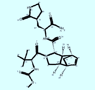 COC(=O)N[C@H](C(=O)N1C[C@H]2[C@@H]([C@H]1C(=O)N[C@@H](C[C@@H]1CCNC1=O)C(N)=O)[C@H]1C=C[C@@H]2C1)C(C)(C)C